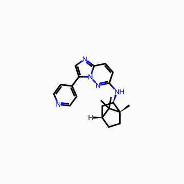 CC1(C)[C@@H]2CC[C@@]1(C)[C@H](Nc1ccc3ncc(-c4ccncc4)n3n1)C2